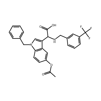 CC(=O)Oc1ccc2c(c1)c(C(NCc1cccc(C(F)(F)F)c1)C(=O)O)cn2Cc1ccccc1